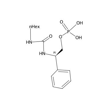 CCCCCCNC(=O)N[C@@H](COP(=O)(O)O)c1ccccc1